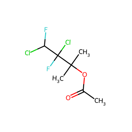 CC(=O)OC(C)(C)C(F)(Cl)C(F)Cl